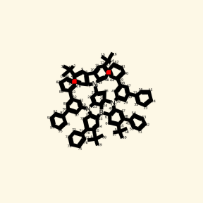 CC(C)(C)c1ccc2c(c1)c1cc(C(C)(C)C)ccc1n2-c1cc2c3c(c1)N(c1cc(-c4ccccc4)cc(-c4ccccc4)c1)c1cc(-c4ccccc4)c(C(C)(C)C)cc1B3c1cc(C(C)(C)C)c(-c3ccccc3)cc1N2c1cc(-c2ccccc2)cc(-c2ccccc2)c1